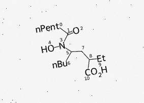 CCCCCC(=O)N(O)C(CCCC)CC(CC)C(=O)O